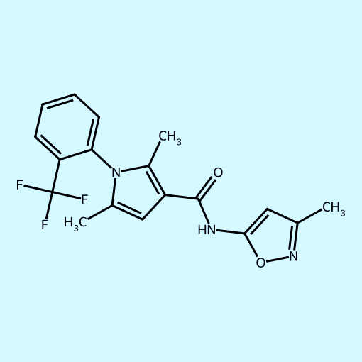 Cc1cc(NC(=O)c2cc(C)n(-c3ccccc3C(F)(F)F)c2C)on1